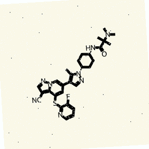 Cc1c(-c2cc(Sc3ncccc3F)c3c(C#N)cnn3c2)cnn1[C@H]1CC[C@@H](NC(=O)C(C)(C)N(C)C)CC1